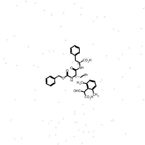 CC(C)C[C@H](NC(=O)OCc1ccccc1)C(=O)N[C@@H](Cc1ccccc1)C(=O)O.Cc1cccc(C)c1C(C=O)C(=O)O